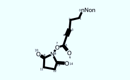 CCCCCCCCCCCC#CC(=O)ON1C(=O)CCC1=O